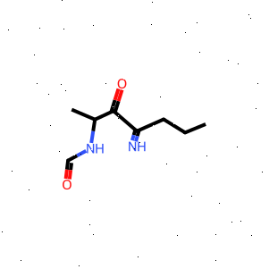 CCCC(=N)C(=O)C(C)NC=O